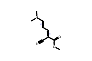 COC(=O)/C(C#N)=C/C=C/N(C)C